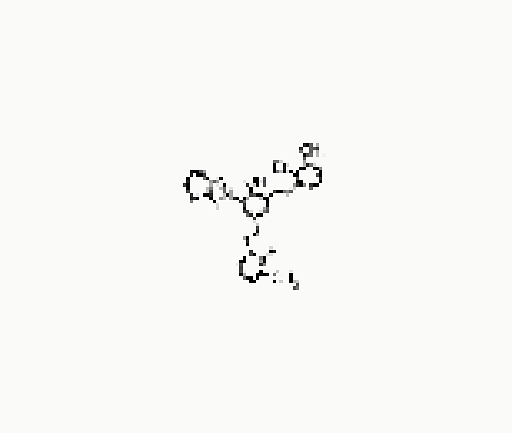 CCc1c(C)cccc1CCc1cc(CCc2cccc(C)c2CC)c(O)c(-n2nc3ccccc3n2)c1